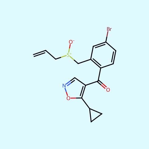 C=CC[S+]([O-])Cc1cc(Br)ccc1C(=O)c1cnoc1C1CC1